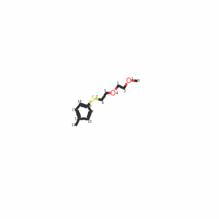 COCCOCCSc1ccc(C)cc1